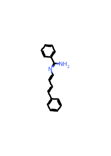 NC(=NC=CC=Cc1ccccc1)c1ccccc1